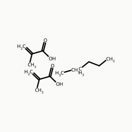 C=C(C)C(=O)O.C=C(C)C(=O)O.CC.CCCC